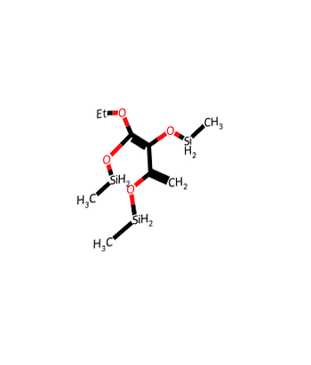 C=C(O[SiH2]C)C(O[SiH2]C)=C(OCC)O[SiH2]C